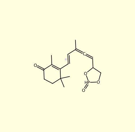 CC(=C=CC1CO[PH](=O)O1)/C=C/C1=C(C)C(=O)CCC1(C)C